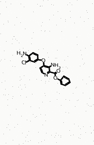 Nc1ccc(Oc2ccnc(C(=O)Oc3ccccc3)c2N)cc1Cl